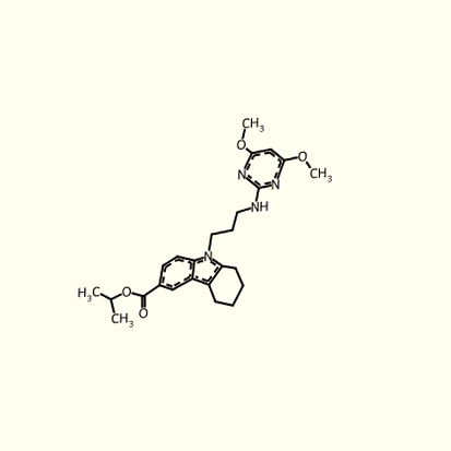 COc1cc(OC)nc(NCCCn2c3c(c4cc(C(=O)OC(C)C)ccc42)CCCC3)n1